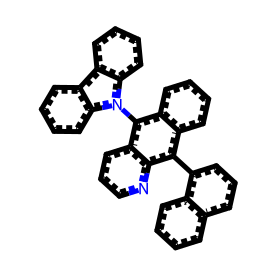 c1ccc2c(-c3c4ccccc4c(-n4c5ccccc5c5ccccc54)c4cccnc34)cccc2c1